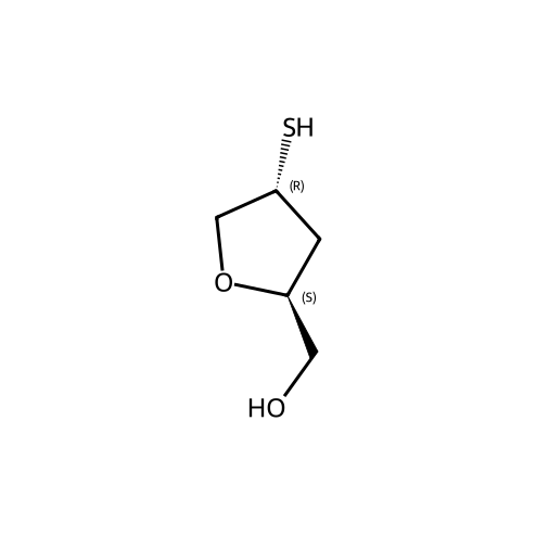 OC[C@@H]1C[C@@H](S)CO1